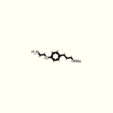 CNCCCc1ccc(OCCN)cc1